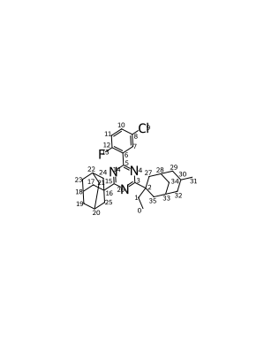 CCC1(c2nc(-c3cc(Cl)ccc3F)nc(C34CC5CC(CC(C5)C3)C4)n2)CC2CC(C)CC(C2)C1